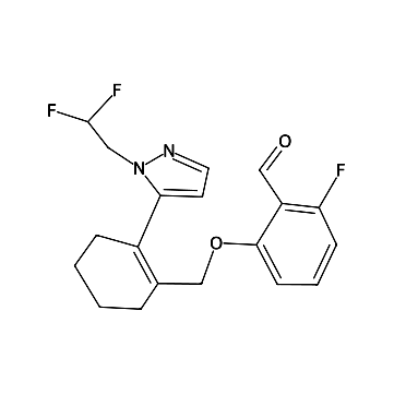 O=Cc1c(F)cccc1OCC1=C(c2ccnn2CC(F)F)CCCC1